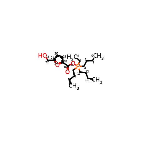 CCCCP(CC)(CCCC)(CCCC)OC(=O)c1ccc(CO)o1